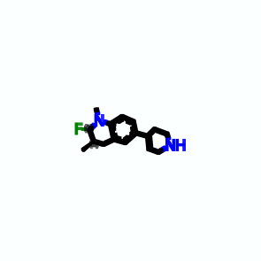 C[C@@H]1Cc2cc(C3=CCNCC3)ccc2N(C)[C@H]1F